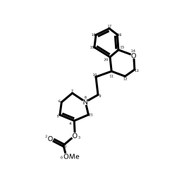 COC(=O)OC1=CCCN(CCC2CCOc3ccccc32)C1